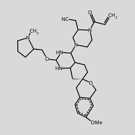 C=CC(=O)N1CCN(C2NC(OCC3CCCN3C)NC3C[C@@]4(CCC32)Cc2ccc(OC)cc2CO4)CC1CC#N